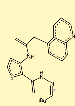 C=C(Cc1cccc2ncccc12)Nc1ccsc1C(=C)N/N=C\C(C)CC